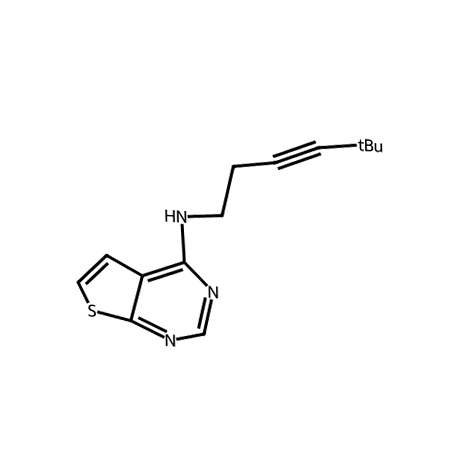 CC(C)(C)C#CCCNc1ncnc2sccc12